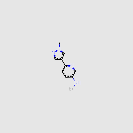 CCNc1ccc(-c2cnn(C)c2)nc1